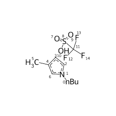 CCCCn1ccc(C)c1.O=S(=O)(O)C(F)(F)F